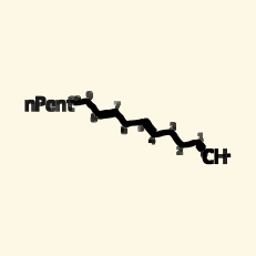 [CH]=CCCC=CCC=CCCCCCC